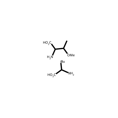 CCC(C)C(N)C(=O)O.COC(C)C(N)C(=O)O